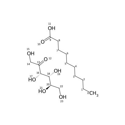 CCCCCCCCCC(=O)O.O=C(CO)[C@@H](O)[C@H](O)[C@H](O)CO